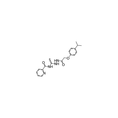 CC(C)c1ccc(OCC(=O)NNC(=S)NC(=O)c2ccccn2)cc1